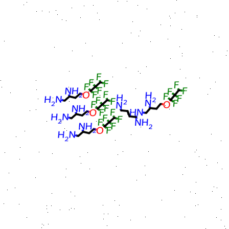 NCC(N)CCOC(F)(F)C(F)(F)C(F)F.NCC(N)CCOC(F)(F)C(F)(F)C(F)F.NCC(N)CCOC(F)(F)C(F)(F)C(F)F.NCCCC(N)NCC(N)CCOC(F)(F)C(F)(F)C(F)F